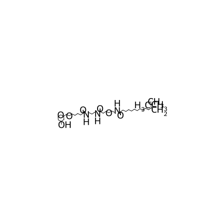 C=C(CCCCCCCCCCC(=O)NCCOCCC(=O)NCCCNC(=O)CCCCOCC1CC(O)CCO1)C(C)(C)C